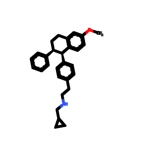 COc1ccc2c(c1)CC[C@H](c1ccccc1)[C@@H]2c1ccc(CCNCC2CC2)cc1